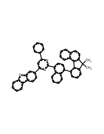 CC1(C)c2cccc(-c3ccc(-c4nc(-c5ccccc5)cc(-c5ccc6c(c5)oc5ccccc56)n4)c4ccccc34)c2-c2c1ccc1ccccc21